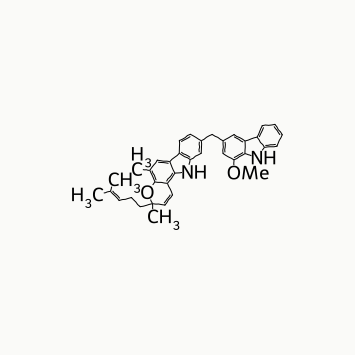 COc1cc(Cc2ccc3c(c2)[nH]c2c4c(c(C)cc23)OC(C)(CCC=C(C)C)C=C4)cc2c1[nH]c1ccccc12